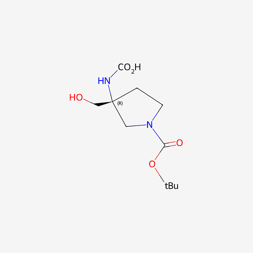 CC(C)(C)OC(=O)N1CC[C@@](CO)(NC(=O)O)C1